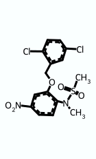 CN(c1ccc([N+](=O)[O-])cc1OCc1cc(Cl)ccc1Cl)S(C)(=O)=O